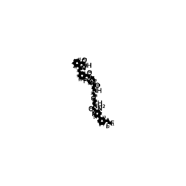 Nc1cc(-c2cccc(CC(F)F)c2)cnc1C(=O)NCCOCCNCC(=O)N1CCN(C(=O)c2cc(Cc3n[nH]c(=O)c4ccccc34)ccc2F)CC1